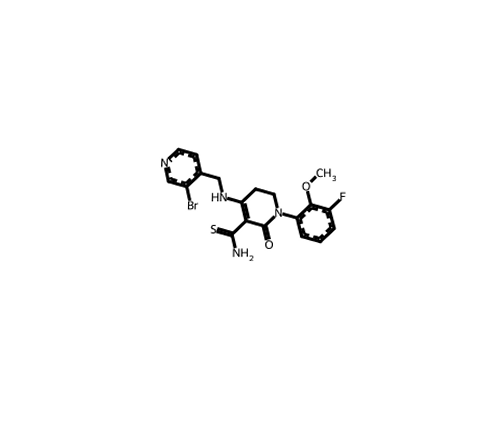 COc1c(F)cccc1N1CCC(NCc2ccncc2Br)=C(C(N)=S)C1=O